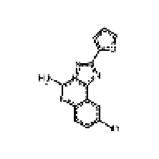 CC(C)c1ccc2nc(N)n3nc(-c4ccco4)nc3c2c1